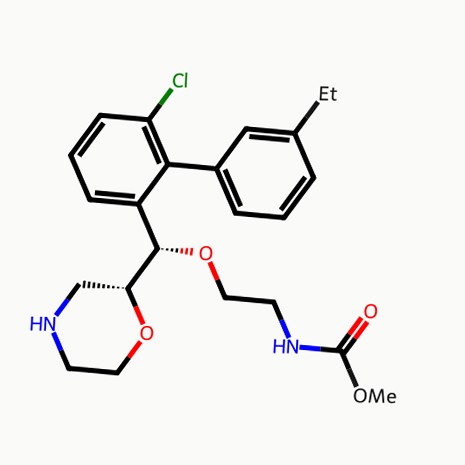 CCc1cccc(-c2c(Cl)cccc2[C@H](OCCNC(=O)OC)[C@H]2CNCCO2)c1